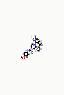 COc1ccc(NC(=O)N2CCN(c3nc(N)nc4scc(C5=NCCO5)c34)CC2)cc1